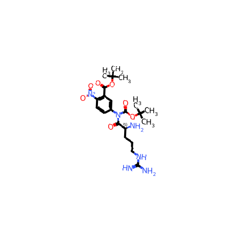 CC(C)(C)OC(=O)c1cc(N(C(=O)OC(C)(C)C)C(=O)[C@@H](N)CCCNC(=N)N)ccc1[N+](=O)[O-]